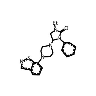 CCN1CC(N2CCN(c3cccc4cnsc34)CC2)N(c2ccccc2)C1=O